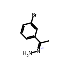 C/C(=N/N)c1cccc(Br)c1